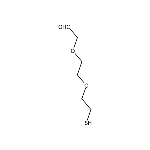 O=CCOCCOCCS